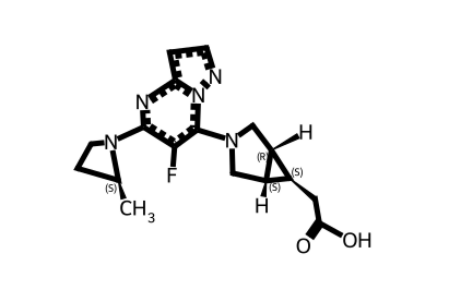 C[C@H]1CCN1c1nc2ccnn2c(N2C[C@@H]3[C@@H](CC(=O)O)[C@@H]3C2)c1F